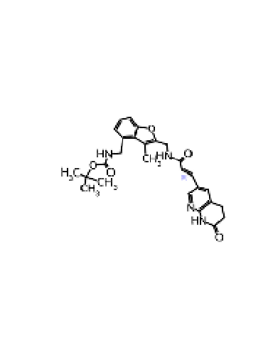 Cc1c(CNC(=O)/C=C/c2cnc3c(c2)CCC(=O)N3)oc2cccc(CNC(=O)OC(C)(C)C)c12